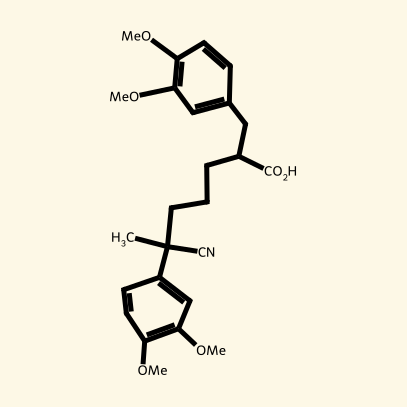 COc1ccc(CC(CCCC(C)(C#N)c2ccc(OC)c(OC)c2)C(=O)O)cc1OC